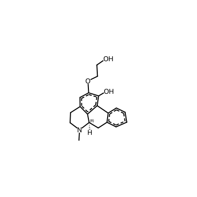 CN1CCc2cc(OCCO)c(O)c3c2[C@H]1Cc1ccccc1-3